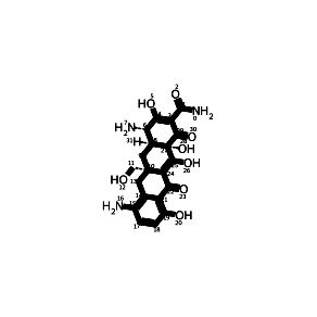 NC(=O)C1=C(O)[C@@H](N)[C@@H]2C[C@]3(CO)Cc4c(N)ccc(O)c4C(=O)C3=C(O)[C@]2(O)C1=O